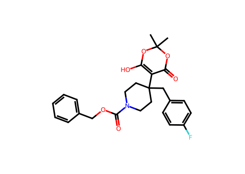 CC1(C)OC(=O)C(C2(Cc3ccc(F)cc3)CCN(C(=O)OCc3ccccc3)CC2)=C(O)O1